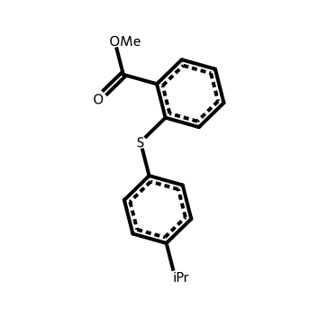 COC(=O)c1ccccc1Sc1ccc(C(C)C)cc1